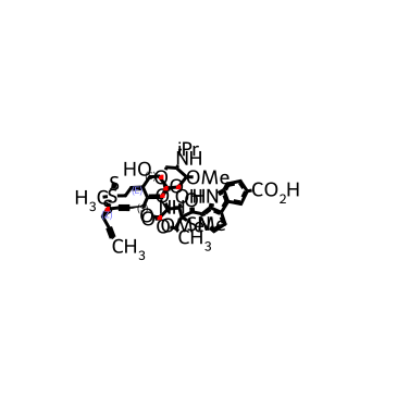 CC#C/C=C\C#C[C@H](OC1OC(C)C(SC)(C(=O)c2nccc3c2[nH]c2ccc(C(=O)O)cc23)C(O)C1OC1CC(OC)C(NC(C)C)CO1)C1=C(NC(=O)OC)C(=O)C[C@H](O)/C1=C/CS(C)(=S)=S